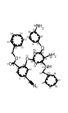 N#Cc1ccc(C(=O)OCc2ccccc2)c(Oc2nc(NCc3ccccc3)c(N)c(Oc3cccc(N)c3)n2)c1